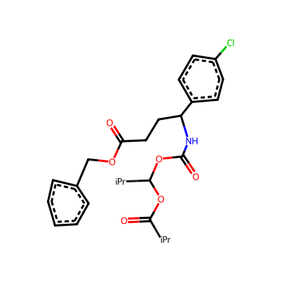 CC(C)C(=O)OC(OC(=O)NC(CCC(=O)OCc1ccccc1)c1ccc(Cl)cc1)C(C)C